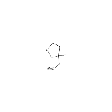 COCC1(C)CCOC1